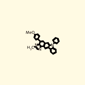 COc1ccc(-c2cc3cc4c(cc3c3ncc(C)nc23)c2ccccc2n4-c2ccccc2)cc1